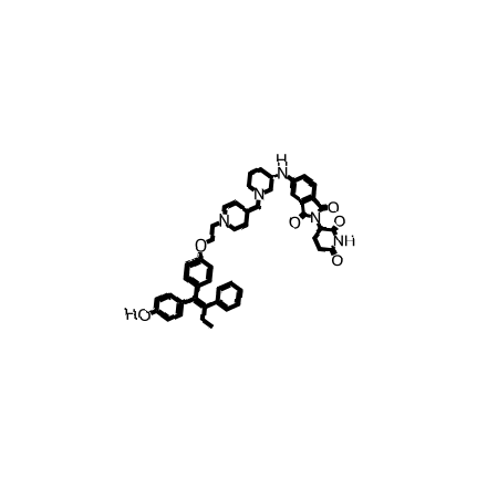 CCC(=C(c1ccc(O)cc1)c1ccc(OCCN2CCC(CN3CCC[C@@H](Nc4ccc5c(c4)C(=O)N(C4CCC(=O)NC4=O)C5=O)C3)CC2)cc1)c1ccccc1